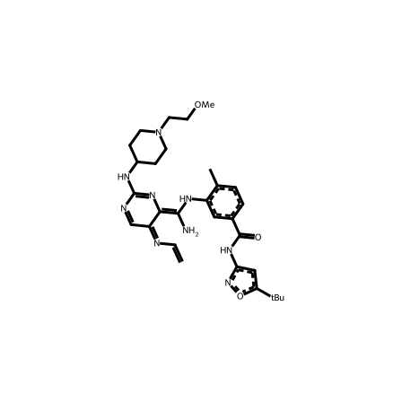 C=C/N=C1/C=NC(NC2CCN(CCOC)CC2)=N/C1=C(/N)Nc1cc(C(=O)Nc2cc(C(C)(C)C)on2)ccc1C